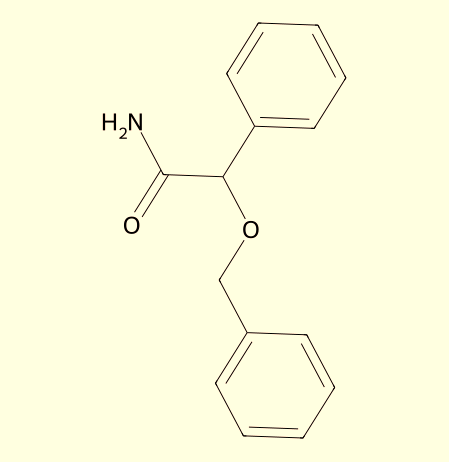 NC(=O)C(OCc1ccccc1)c1ccccc1